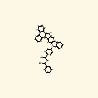 N=C(OC(=N)c1ccc(-n2c3ccccc3c3cc4nc5c6ccccc6c6ccccc6n5c4cc32)cc1)c1ccccc1